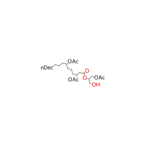 CCCCCCCCCCCCCC(CCCC(CC(=O)OC(CO)COC(C)=O)OC(C)=O)OC(C)=O